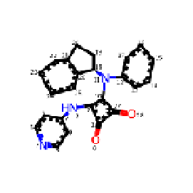 O=c1c(Nc2ccncc2)c(N(c2ccccc2)[C@@H]2CCc3ccccc32)c1=O